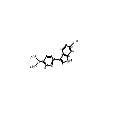 CCCN(CCC)c1ccc(-c2c[nH]c3cc(F)ccc23)cn1